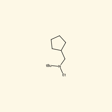 CCN(CC1CCCC1)C(C)(C)C